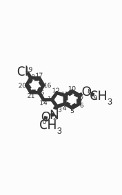 CON=C1c2ccc(OC)cc2CC1Cc1ccc(Cl)cc1